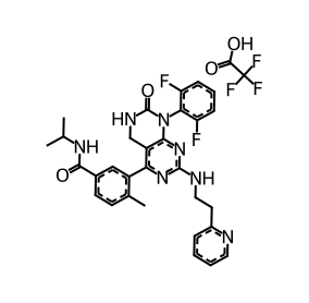 Cc1ccc(C(=O)NC(C)C)cc1-c1nc(NCCc2ccccn2)nc2c1CNC(=O)N2c1c(F)cccc1F.O=C(O)C(F)(F)F